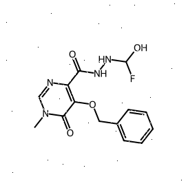 Cn1cnc(C(=O)NNC(O)F)c(OCc2ccccc2)c1=O